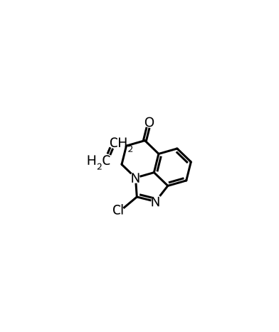 C=C.O=C1CCn2c(Cl)nc3cccc1c32